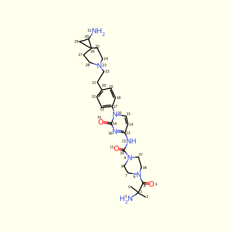 CC(C)(N)C(=O)N1CCN(C(=O)Nc2ccn(-c3ccc(CCN4CCC5(CC4)CC5N)cc3)c(=O)n2)CC1